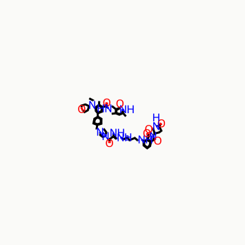 CCN(c1cc(-c2ccc(CN3CCN(C(=O)/C(N)=C/NCCCCCNc4cccc5c4C(=O)N(C4CCC(=O)NC4=O)C5=O)CC3)cc2)cc(C(=O)NCc2c(C)cc(C)[nH]c2=O)c1C)C1CCOCC1